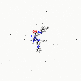 COc1cc(N=Nc2ccccc2)ccc1Nc1nc(Nc2ccc(N=Nc3cccc(S(=O)(=O)O)c3)cc2CO)nc(N(C)C)n1